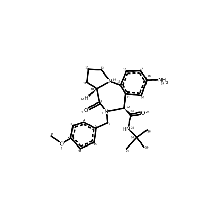 COc1ccc(CN2C(=O)[C@@H]3CCCN3c3ccc(N)cc3[C@H]2C(=O)NC(C)(C)C)cc1